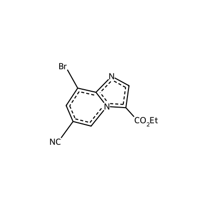 CCOC(=O)c1cnc2c(Br)cc(C#N)cn12